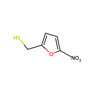 O=[N+]([O-])c1ccc(CS)o1